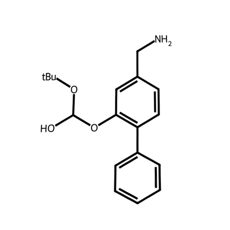 CC(C)(C)OC(O)Oc1cc(CN)ccc1-c1ccccc1